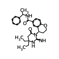 CCC1(CC)CC(=O)N([C@@H]2CCOc3ccc(C(=O)NC(C)c4ccccc4)cc32)C(=N)N1